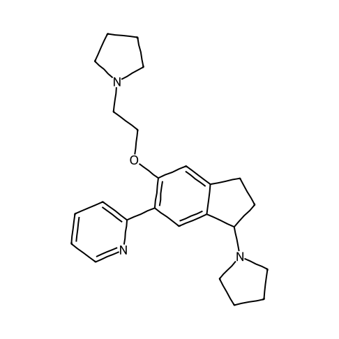 c1ccc(-c2cc3c(cc2OCCN2CCCC2)CCC3N2CCCC2)nc1